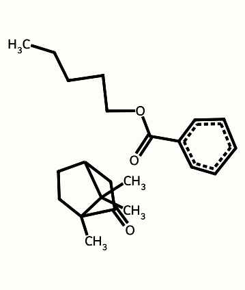 CC12CCC(CC1=O)C2(C)C.CCCCCOC(=O)c1ccccc1